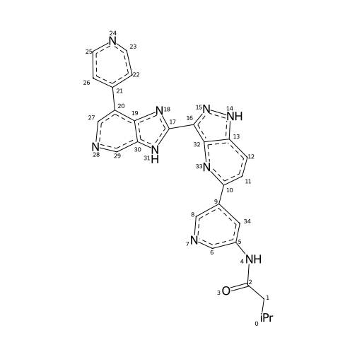 CC(C)CC(=O)Nc1cncc(-c2ccc3[nH]nc(-c4nc5c(-c6ccncc6)cncc5[nH]4)c3n2)c1